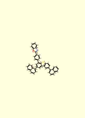 c1ccc2c(-c3ccc4sc5c(-c6ccc(-c7nc8ccccc8o7)cc6)cc(-c6cccc7ccccc67)cc5c4c3)cccc2c1